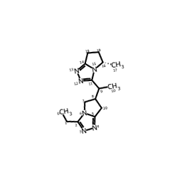 CCc1nnc2n1CC(C(C)c1nnc3n1[C@@H](C)CC3)C2